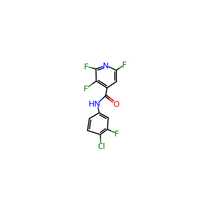 O=C(Nc1ccc(Cl)c(F)c1)c1cc(F)nc(F)c1F